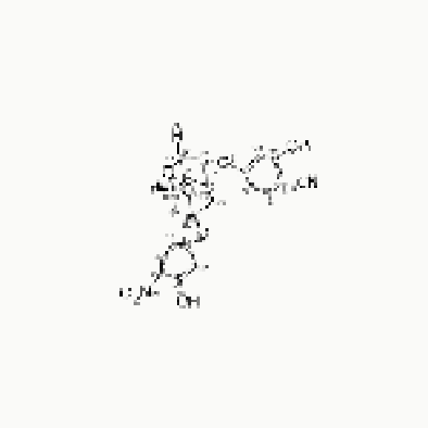 N#Cc1ccc(O[C@@]23C[C@@H]4C[C@@](Oc5ccc([N+](=O)[O-])c(O)c5)(C2)O[C@H](O4)O3)cc1O